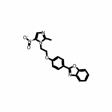 Cc1ncc([N+](=O)[O-])n1CCOc1ccc(-c2nc3ccccc3o2)cc1